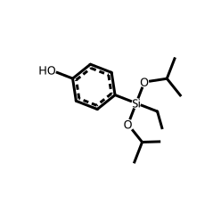 CC[Si](OC(C)C)(OC(C)C)c1ccc(O)cc1